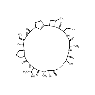 C/C=C1\NC(=O)C2CSC(=N2)C2CC(C)N2C(=O)C(CC(C)C)NC(=O)C(C)NC(=O)C(O)COC(=O)C(C(C)C)N(C)C(=O)C(C(C)O)NC(=O)C2CCCN2C1=O